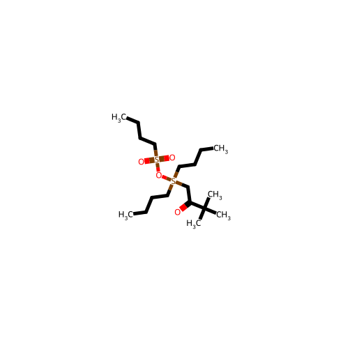 CCCCS(CCCC)(CC(=O)C(C)(C)C)OS(=O)(=O)CCCC